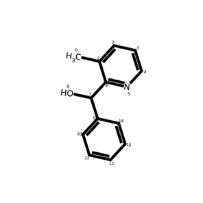 Cc1cccnc1C(O)c1ccccc1